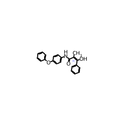 C/C(C(=O)Nc1ccc(Oc2ccccc2)cc1)=C(\O)c1ccccc1